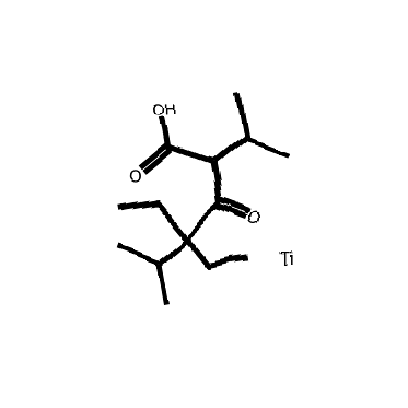 CCC(CC)(C(=O)C(C(=O)O)C(C)C)C(C)C.[Ti]